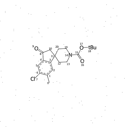 Cc1cc2c(cc1Cl)C(=O)CC21CCN(C(=O)OC(C)(C)C)CC1